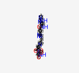 C[C@H]1CCCN1Cc1nc2cc(NC(=O)c3ccc(-c4cn(CCCC5CCN(c6ccc7c(c6)C(=O)N(C6CCC(=O)NC6=O)C7=O)CC5)nn4)cc3)ccc2[nH]1